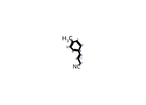 Cc1ccc(/C=C/CC#N)cc1